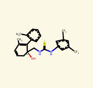 CC1=C(c2ccccc2C)[C@](O)(CNC(=S)Nc2cc(C(F)(F)F)cc(C(F)(F)F)c2)CC=C1